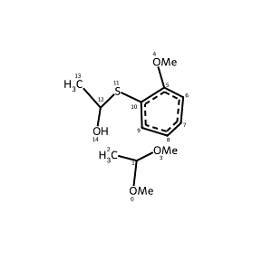 COC(C)OC.COc1ccccc1SC(C)O